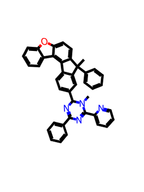 CN1C(c2ccccn2)=NC(c2ccccc2)=NC1c1ccc2c(c1)C(C)(c1ccccc1)c1ccc3oc4ccccc4c3c1-2